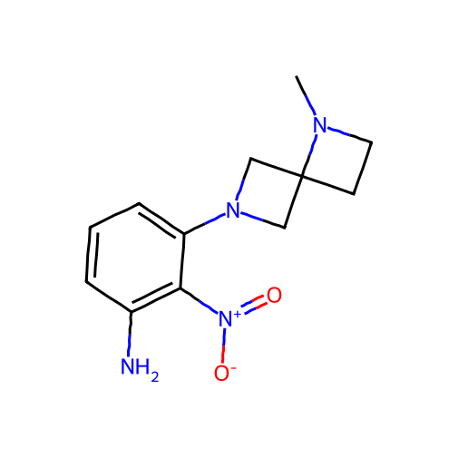 CN1CCC12CN(c1cccc(N)c1[N+](=O)[O-])C2